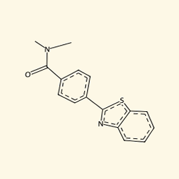 CN(C)C(=O)c1ccc(-c2nc3ccccc3s2)cc1